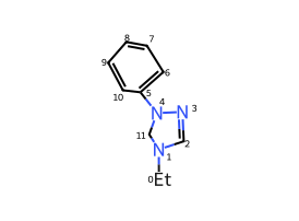 CCN1C=NN(c2ccccc2)C1